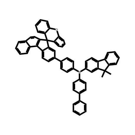 CC1(C)c2ccccc2-c2ccc(N(c3ccc(-c4ccccc4)cc3)c3ccc(-c4ccc5c(c4)C4(c6ccccc6Oc6ccccc64)c4ccc6ccccc6c4-5)cc3)cc21